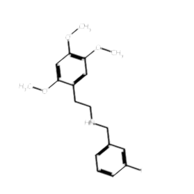 COc1cc(OC)c(OC)cc1CCNCc1cccc(I)c1